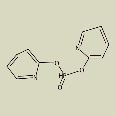 O=[PH](Oc1ccccn1)Oc1ccccn1